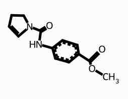 COC(=O)c1ccc(NC(=O)N2C=CCC2)cc1